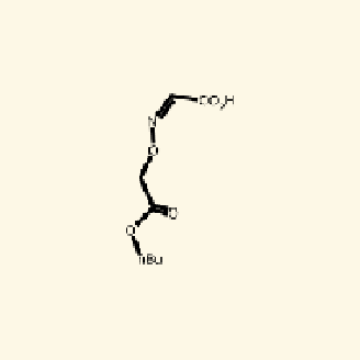 CCCCOC(=O)CO/N=C\C(=O)O